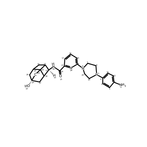 Nc1ccc(N2CCN(c3cccc(C(=O)N[C@H]4C5CC6CC4C[C@](O)(C6)C5)n3)CC2)cc1